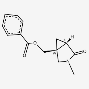 CN1C[C@]2(COC(=O)c3ccccc3)C[C@@H]2C1=O